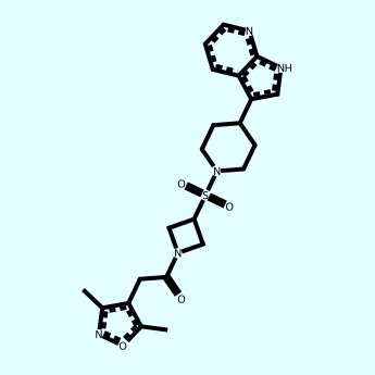 Cc1noc(C)c1CC(=O)N1CC(S(=O)(=O)N2CCC(c3c[nH]c4ncccc34)CC2)C1